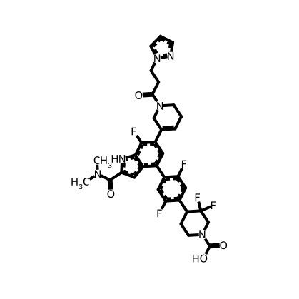 CN(C)C(=O)c1cc2c(-c3cc(F)c(C4CCN(C(=O)O)CC4(F)F)cc3F)cc(C3=CCCN(C(=O)CCn4cccn4)C3)c(F)c2[nH]1